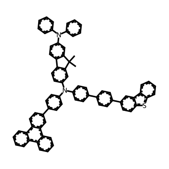 CC1(C)c2cc(N(c3ccccc3)c3ccccc3)ccc2-c2ccc(N(c3ccc(-c4ccc(-c5ccc6sc7ccccc7c6c5)cc4)cc3)c3ccc(-c4ccc5c6ccccc6c6ccccc6c5c4)cc3)cc21